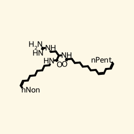 CCCCC/C=C\C/C=C\CCCCCCCC(=O)NC(CCNC(=N)N)C(=O)NCCCCCCC/C=C\CCCCCCCCC